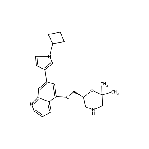 CC1(C)CNC[C@@H](COc2cc(-c3ccn(C4CCC4)c3)cc3ncccc23)O1